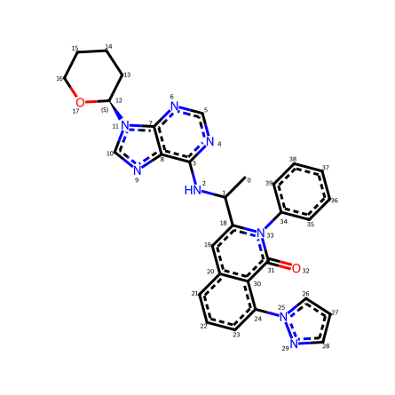 CC(Nc1ncnc2c1ncn2[C@@H]1CCCCO1)c1cc2cccc(-n3cccn3)c2c(=O)n1-c1ccccc1